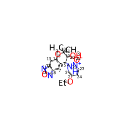 CCOC1=CN(C2c3cc4nonc4cc3OC(C)(C)C2O)[NH+]([O-])C=C1